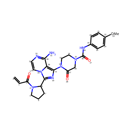 C=CC(=O)N1CCCC1c1nc(N2CCN(C(=O)Nc3ccc(OC)cc3)CC2=O)c2c(N)nccn12